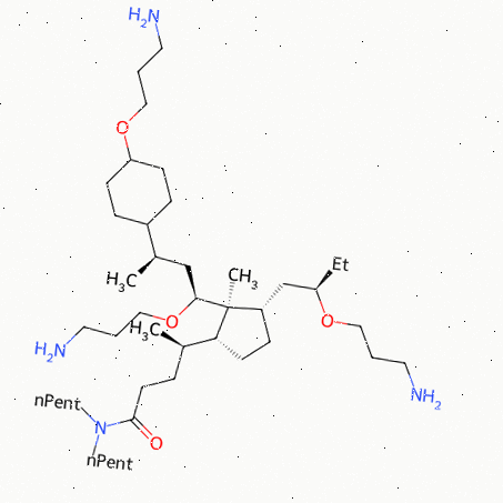 CCCCCN(CCCCC)C(=O)CC[C@@H](C)[C@H]1CC[C@@H](C[C@@H](CC)OCCCN)[C@]1(C)[C@H](C[C@@H](C)C1CCC(OCCCN)CC1)OCCCN